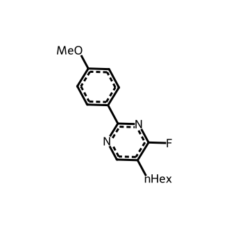 CCCCCCc1cnc(-c2ccc(OC)cc2)nc1F